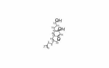 C=C(C)CCC1=Cc2cc(CCCO)c(O)cc2OC1